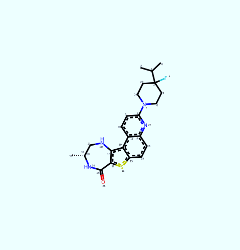 CC(C)C1(F)CCN(c2ccc3c(ccc4sc5c(c43)NC[C@@H](C)NC5=O)n2)CC1